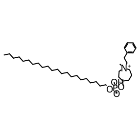 CCCCCCCCCCCCCCCCCCCCCCOP(=O)(O)OC1CCC[N+](C)(CCc2ccccc2)CC1